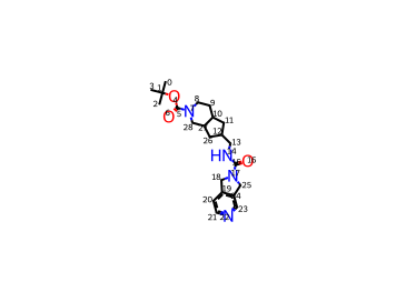 CC(C)(C)OC(=O)N1CCC2CC(CNC(=O)N3Cc4ccncc4C3)CC2C1